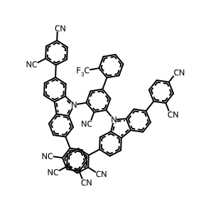 N#Cc1ccc(-c2ccc3c4ccc(-c5ccc(C#N)cc5C#N)cc4n(-c4cc(-c5ccccc5C(F)(F)F)cc(-n5c6cc(-c7ccc(C#N)cc7C#N)ccc6c6ccc(-c7ccc(C#N)cc7C#N)cc65)c4C#N)c3c2)c(C#N)c1